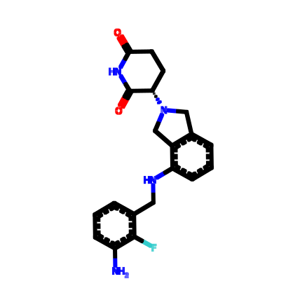 Nc1cccc(CNc2cccc3c2CN([C@H]2CCC(=O)NC2=O)C3)c1F